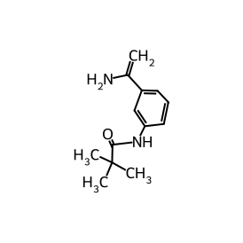 C=C(N)c1cccc(NC(=O)C(C)(C)C)c1